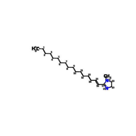 CCCCCCCCCCCCCCCC=CC1=NCCN1C